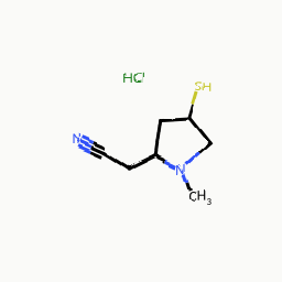 CN1CC(S)CC1CC#N.Cl